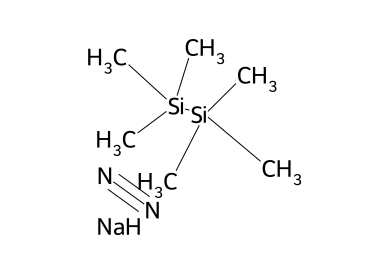 C[Si](C)(C)[Si](C)(C)C.N#N.[NaH]